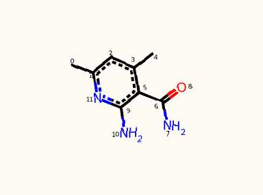 Cc1cc(C)c(C(N)=O)c(N)n1